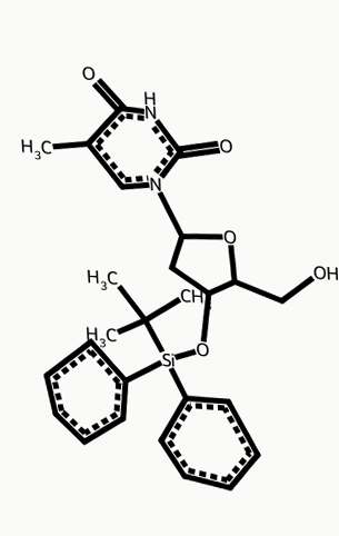 Cc1cn(C2CC(O[Si](c3ccccc3)(c3ccccc3)C(C)(C)C)C(CO)O2)c(=O)[nH]c1=O